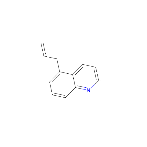 C=CCc1cccc2n[c]ccc12